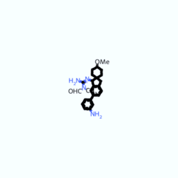 COC1CCC2(CC1)Cc1ccc(-c3cccc(N)c3)cc1C2/N=C(/N)N(C)C=O